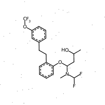 CC(O)CC(Oc1ccccc1CCc1cccc(OC(F)(F)F)c1)N(C)C(F)F